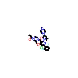 C=CC(=O)N1CCN2C(=O)c3c(N4CC(N5CCN(C)CC5)CC4(C)C)nc(-c4c(F)cccc4F)c(Cl)c3OCC2C1